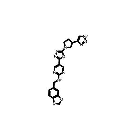 c1cc2c(cc1CNc1ncc(-c3nnc(N4CCC(c5c[nH]nn5)C4)o3)cn1)OCO2